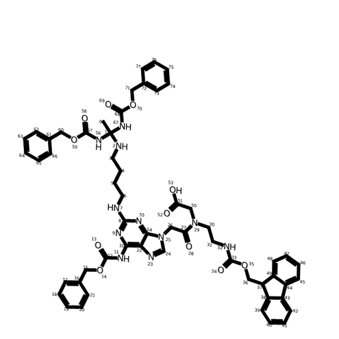 CC(NCCCCNc1nc(NC(=O)OCc2ccccc2)c2ncn(CC(=O)N(CCNC(=O)OCC3c4ccccc4-c4ccccc43)CC(=O)O)c2n1)(NC(=O)OCc1ccccc1)NC(=O)OCc1ccccc1